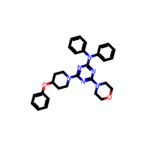 c1ccc(OC2CCN(c3nc(N4CCOCC4)nc(N(c4ccccc4)c4ccccc4)n3)CC2)cc1